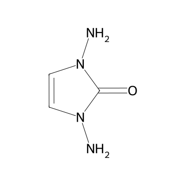 Nn1ccn(N)c1=O